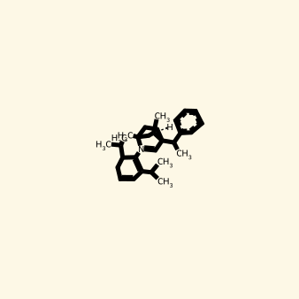 CC(C)C1=C([N+]2=CC3(C(C)c4ccccc4)CCC2(C)C[C@H]3C)C(C(C)C)CC=C1